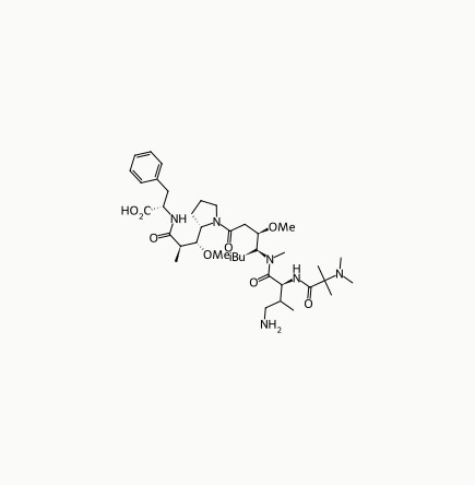 CC[C@H](C)[C@@H]([C@@H](CC(=O)N1CCC[C@H]1[C@H](OC)[C@@H](C)C(=O)N[C@@H](Cc1ccccc1)C(=O)O)OC)N(C)C(=O)[C@@H](NC(=O)C(C)(C)N(C)C)C(C)CN